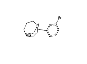 Brc1cccc(C2CNC3CCCN2CC3)c1